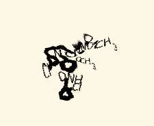 CCOC(=O)N1CCN(CCC2CCCc3cc(Cl)ccc3N2C(=O)c2ccc(NC(=O)c3ccccc3Cl)cc2OC)CC1